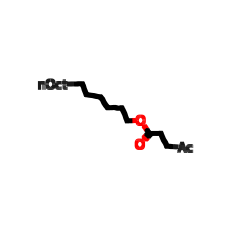 CCCCCCCCCCCCCCOC(=O)CCC(C)=O